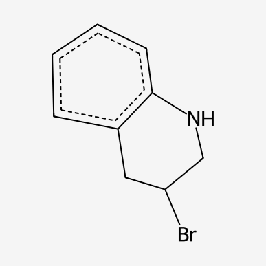 BrC1CNc2ccccc2C1